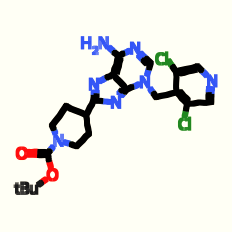 CC(C)(C)OC(=O)N1CCC(c2nc3c(N)ncn(Cc4c(Cl)cncc4Cl)c-3n2)CC1